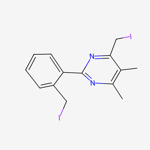 Cc1nc(-c2ccccc2CI)nc(CI)c1C